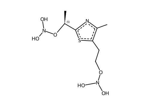 Cc1nc([C@H](C)ON(O)O)sc1CCON(O)O